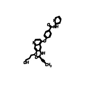 CC#CC(=O)Nc1cc2c(Oc3ccc(C(=O)Nc4ccccn4)cc3)ccnc2cc1OCCCO